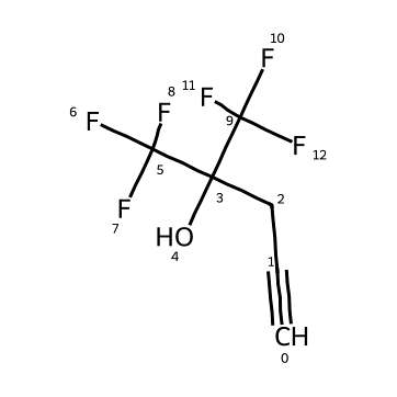 C#CCC(O)(C(F)(F)F)C(F)(F)F